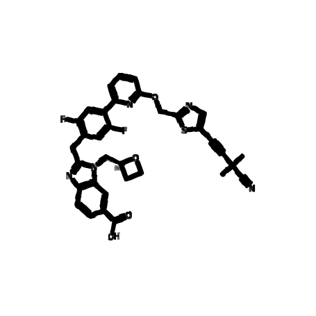 CC(C)(C#N)C#Cc1cnc(COc2cccc(-c3cc(F)c(Cc4nc5ccc(C(=O)O)cc5n4C[C@@H]4CCO4)cc3F)n2)s1